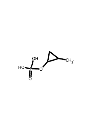 [CH2]C1CC1OP(=O)(O)O